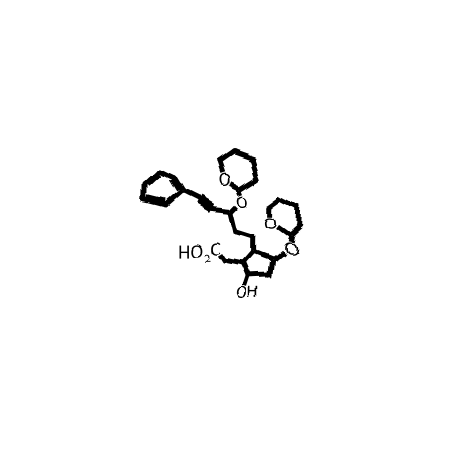 O=C(O)CC1C(O)CC(OC2CCCCO2)C1CCC(C#Cc1ccccc1)OC1CCCCO1